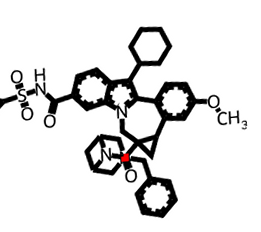 COc1ccc2c(c1)C1CC1(C(=O)N1C3CC1CN(Cc1ccccc1)C3)Cn1c-2c(C2CCCCC2)c2ccc(C(=O)NS(=O)(=O)C3CC3)cc21